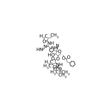 CC[C@@H](C)C(=O)N/C(=N/C=N)c1ccc([C@]2(C#N)O[C@H](COC(=O)Cc3ccccc3)[C@@H](OC(=O)[C@@H](NC(=O)OC(C)(C)C)C(C)(C)C)[C@H]2O)[nH]1